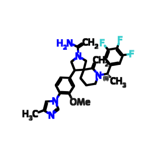 C=C(N)N1CC(c2ccc(-n3cnc(C)c3)c(OC)c2)C2(CCCN([C@@H](C)c3cc(F)c(F)c(F)c3)C2=C)C1